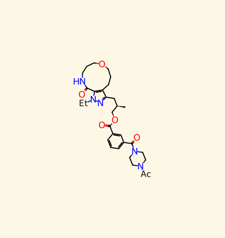 CCn1nc(C[C@@H](C)COC(=O)c2cccc(C(=O)N3CCN(C(C)=O)CC3)c2)c2c1C(=O)NCCCOCCC2